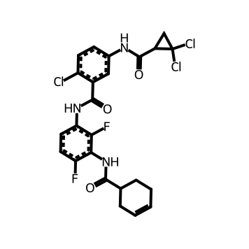 O=C(Nc1ccc(F)c(NC(=O)C2CC=CCC2)c1F)c1cc(NC(=O)C2CC2(Cl)Cl)ccc1Cl